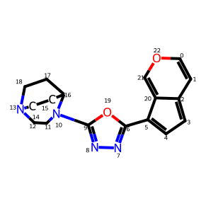 c1cc2ccc(-c3nnc(N4CCN5CCC4CC5)o3)c-2co1